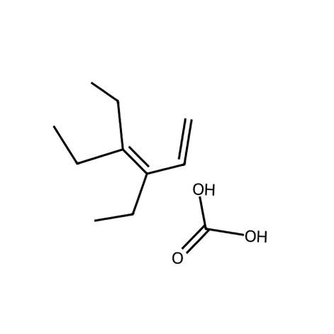 C=CC(CC)=C(CC)CC.O=C(O)O